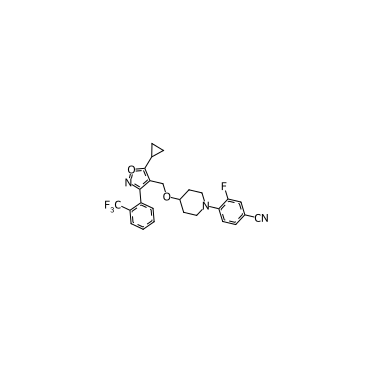 N#Cc1ccc(N2CCC(OCc3c(-c4ccccc4C(F)(F)F)noc3C3CC3)CC2)c(F)c1